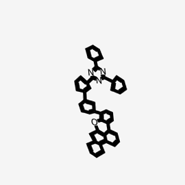 c1ccc(-c2nc(-c3ccccc3)nc(-c3cccc(-c4cccc(-c5cccc6c5Oc5cc7ccccc7c7cccc-6c57)c4)c3)n2)cc1